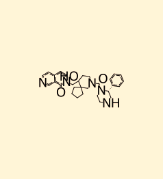 O=C(N1CCC(O)(Cn2ccc3ccncc3c2=O)C2(CCCC2)C1)N1CCNC[C@H]1c1ccccc1